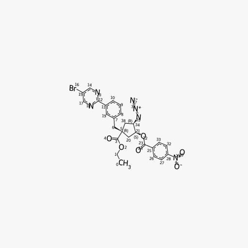 CCOC(=O)[C@@]1(Cc2cccc(-c3ncc(Br)cn3)c2)C[C@H](OC(=O)c2ccc([N+](=O)[O-])cc2)[C@H](N=[N+]=[N-])C1